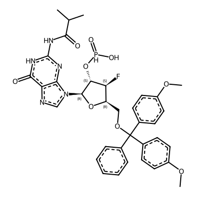 COc1ccc(C(OC[C@H]2O[C@@H](n3cnc4c(=O)[nH]c(NC(=O)C(C)C)nc43)[C@H](O[PH](=O)O)[C@H]2F)(c2ccccc2)c2ccc(OC)cc2)cc1